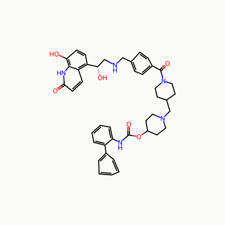 O=C(Nc1ccccc1-c1ccccc1)OC1CCN(CC2CCN(C(=O)c3ccc(CNC[C@H](O)c4ccc(O)c5[nH]c(=O)ccc45)cc3)CC2)CC1